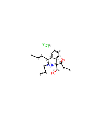 CCCCC(CCC)c1ccccc1C(N)(CO)C(O)CC.Cl